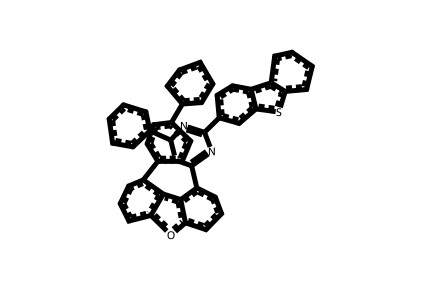 c1ccc(-c2ccc(-c3cccc4oc5cccc(C6=NC(c7ccc8c(c7)sc7ccccc78)=NC(c7ccccc7)N6)c5c34)cc2)cc1